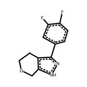 Fc1ccc(-c2n[nH]c3c2CCOC3)cc1F